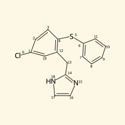 Clc1ccc(Sc2ccccc2)c(Cc2ncc[nH]2)c1